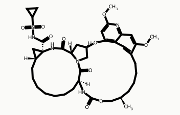 COc1cc2c3cc(c(OC)cc3n1)CCCC[C@@H](C)COC(=O)N[C@H]1CCCCCCC[C@@H]3C[C@@]3(C(=O)NS(=O)(=O)C3CC3)NC(=O)[C@@H]3C[C@H](CN3C1=O)O2